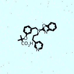 CC(C)(Oc1cccc(CN(CCCc2cccnc2)c2nc3ccccc3o2)c1)C(=O)O